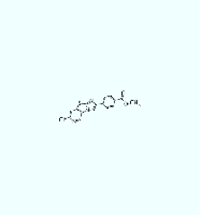 COC(=O)c1ccc(-c2cn3c(n2)sc2cc(Cl)ncc23)cc1